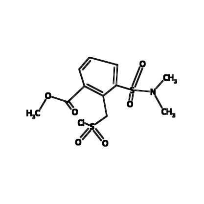 COC(=O)c1cccc(S(=O)(=O)N(C)C)c1CS(=O)(=O)Cl